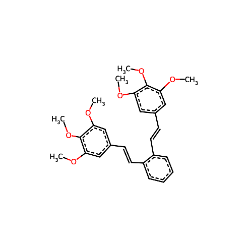 COc1cc(C=Cc2ccccc2C=Cc2cc(OC)c(OC)c(OC)c2)cc(OC)c1OC